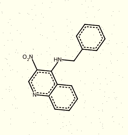 O=[N+]([O-])c1cnc2ccccc2c1NCc1ccccc1